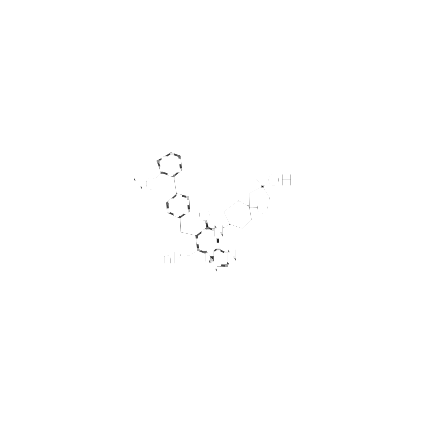 CCCc1c(Cc2ccc(-c3ccccc3C#N)cc2)c(=O)n(C2CCC3(CC2)CC(C)(O)CO3)c2ncnn12